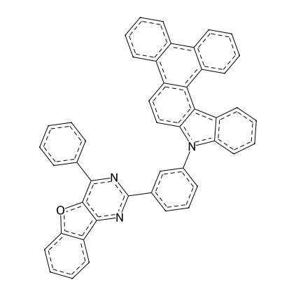 c1ccc(-c2nc(-c3cccc(-n4c5ccccc5c5c6c7ccccc7c7ccccc7c6ccc54)c3)nc3c2oc2ccccc23)cc1